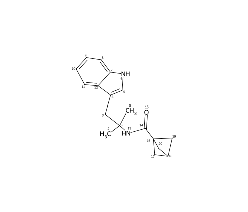 CC(C)(Cc1c[nH]c2ccccc12)NC(=O)C12CC(C1)C2